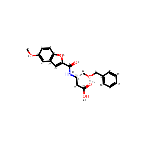 COc1ccc2oc(C(=O)N[C@H](COCc3ccccc3)CC(=O)O)cc2c1